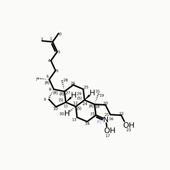 CC(C)=CCC[C@@H](C)[C@H]1CC[C@H]2[C@@H]3CC/C(=N\O)[C@](C)(CCCO)[C@H]3CC[C@]12C